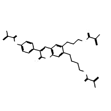 C=C(C)C(=O)OCCCCc1cc2oc(=O)c(-c3ccc(OC(=O)C(=C)C)cc3)cc2cc1CCCOC(=O)C(=C)C